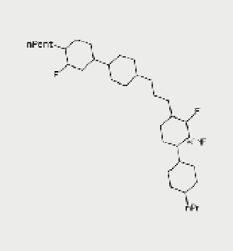 CCCCCC1CCC(C2CCC(CCCC3CCC(C4CCC(CCC)CC4)[C@@H](F)C3F)CC2)CC1F